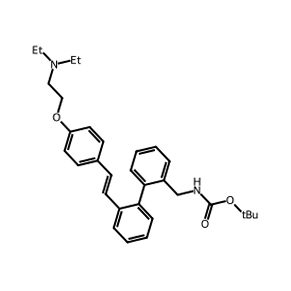 CCN(CC)CCOc1ccc(/C=C/c2ccccc2-c2ccccc2CNC(=O)OC(C)(C)C)cc1